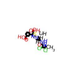 Cc1[nH]c(C(=O)NC2[C@H]3CN(c4nc(-c5cccc(C(=O)O)c5)c(C(=O)O)s4)C[C@@H]23)c(Cl)c1Cl.[LiH]